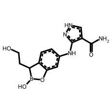 NC(=O)c1c[nH]nc1Nc1ccc2c(c1)OB(O)C2CCO